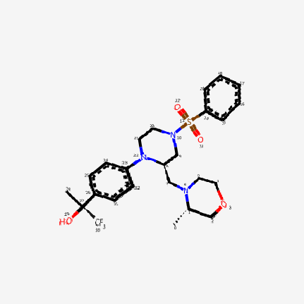 C[C@H]1COCCN1C[C@@H]1CN(S(=O)(=O)c2ccccc2)CCN1c1ccc([C@@](C)(O)C(F)(F)F)cc1